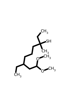 CCC(CCCC(C)(S)CC)CC(OC)OC